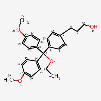 CCOC(c1ccc(CCCO)cc1)(c1ccc(OC)cc1)c1ccc(OC)cc1